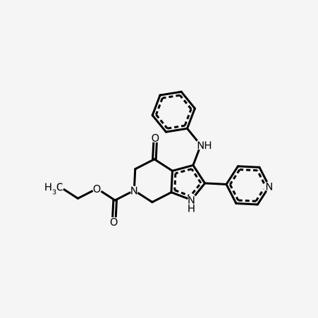 CCOC(=O)N1CC(=O)c2c([nH]c(-c3ccncc3)c2Nc2ccccc2)C1